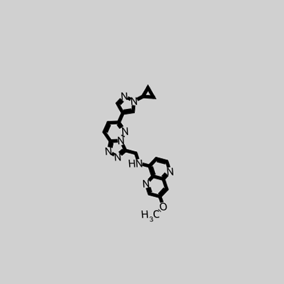 COc1cnc2c(NCc3nnc4ccc(-c5cnn(C6CC6)c5)nn34)ccnc2c1